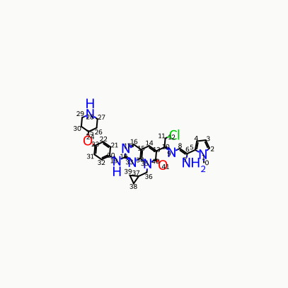 Cn1cccc1/C(N)=C/N=C(\CCl)c1cc2cnc(Nc3ccc(OC4CCNCC4)cc3)nc2n(CC2CC2)c1=O